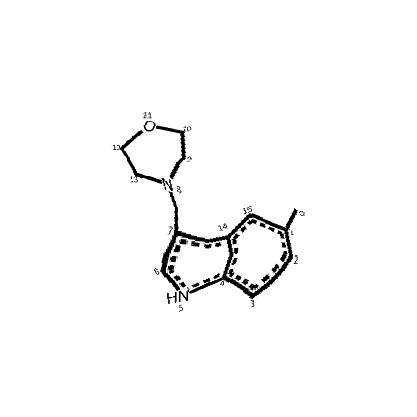 Cc1ccc2[nH]cc(N3CCOCC3)c2c1